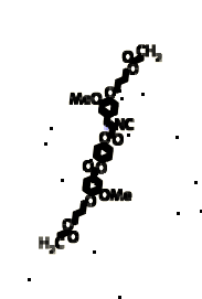 [C-]#[N+]/C(=C\c1ccc(OCCCCOC(=O)C=C)c(OC)c1)C(=O)Oc1ccc(OC(=O)c2ccc(OCCCCOC(=O)C=C)c(OC)c2)cc1